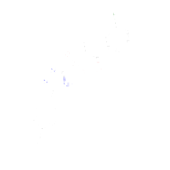 CCc1ccc(-c2nnc(S(=O)(=O)C(C)C(=O)c3cccc(F)c3)[nH]2)cc1